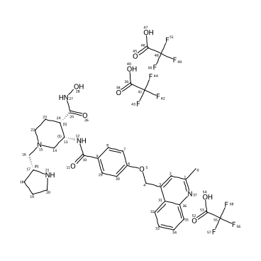 Cc1cc(COc2ccc(C(=O)N[C@@H]3CN(C[C@H]4CCCN4)CC[C@@H]3C(=O)NO)cc2)c2ccccc2n1.O=C(O)C(F)(F)F.O=C(O)C(F)(F)F.O=C(O)C(F)(F)F